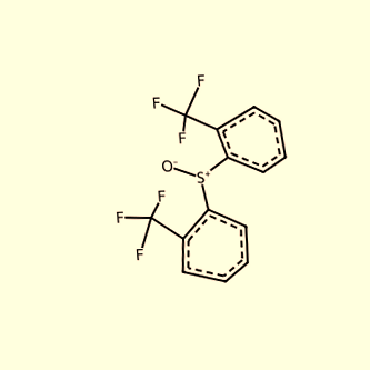 [O-][S+](c1ccccc1C(F)(F)F)c1ccccc1C(F)(F)F